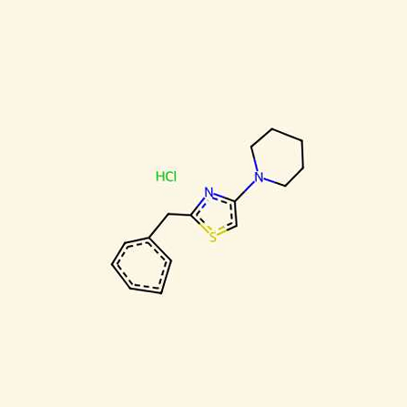 Cl.c1ccc(Cc2nc(N3CCCCC3)cs2)cc1